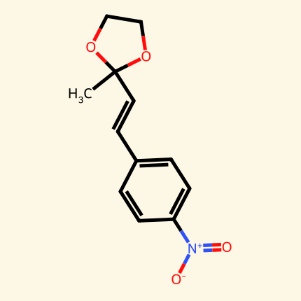 CC1(/C=C/c2ccc([N+](=O)[O-])cc2)OCCO1